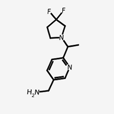 CC(c1ccc(CN)cn1)N1CCC(F)(F)C1